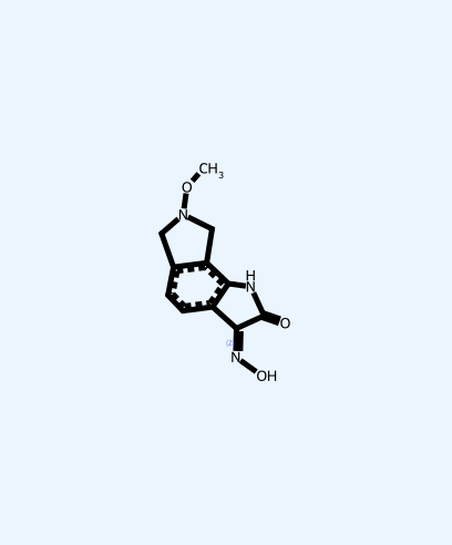 CON1Cc2ccc3c(c2C1)NC(=O)/C3=N\O